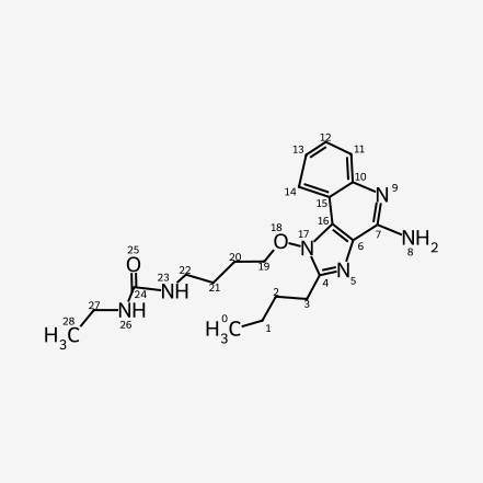 CCCCc1nc2c(N)nc3ccccc3c2n1OCCCCNC(=O)NCC